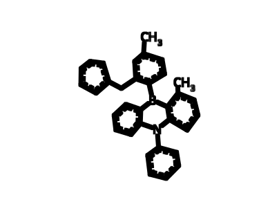 Cc1ccc(B2c3ccccc3N(c3ccccc3)c3cccc(C)c32)c(Cc2ccccc2)c1